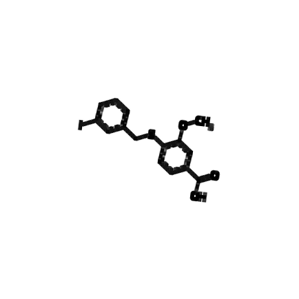 COc1cc(C(=O)O)ccc1SCc1cccc(I)c1